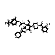 CCc1c(N2CCN(C(=O)c3ncccc3O)CC2)c(=O)n2nc(N3CCOCC3)nc2n1CC(=O)Nc1ccc(C(F)(F)F)cc1C